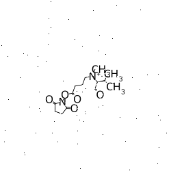 CC(C)[C@@H](C=O)[N+](C)CCCC(=O)ON1C(=O)CCC1=O